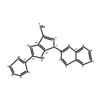 CC(C)(C)c1nn(-c2ccc3ccccc3c2)c2[nH]c(-c3ccccc3)nc12